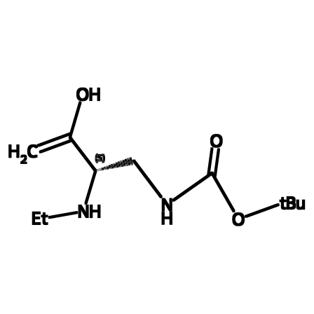 C=C(O)[C@H](CNC(=O)OC(C)(C)C)NCC